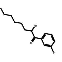 CCCCCCC(Br)C(=O)c1cccc(Cl)c1